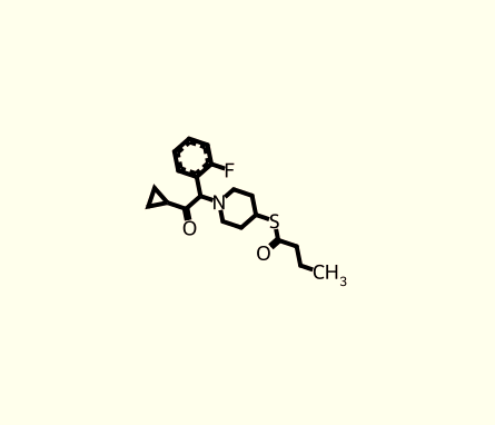 CCCC(=O)SC1CCN(C(C(=O)C2CC2)c2ccccc2F)CC1